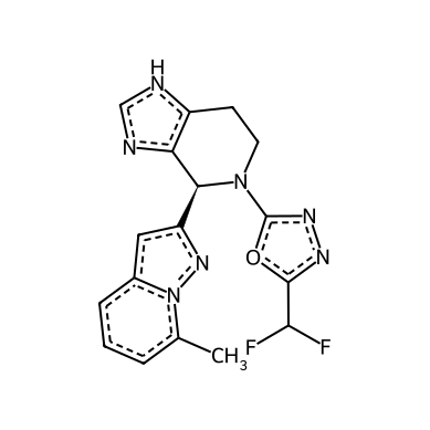 Cc1cccc2cc([C@H]3c4nc[nH]c4CCN3c3nnc(C(F)F)o3)nn12